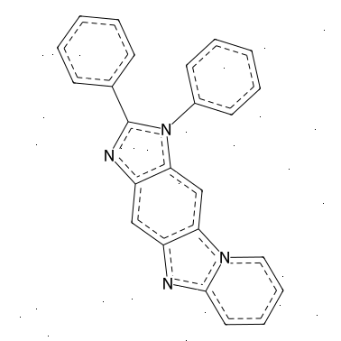 c1ccc(-c2nc3cc4nc5ccccn5c4cc3n2-c2ccccc2)cc1